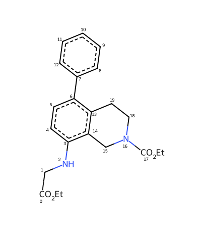 CCOC(=O)CNc1ccc(-c2ccccc2)c2c1CN(C(=O)OCC)CC2